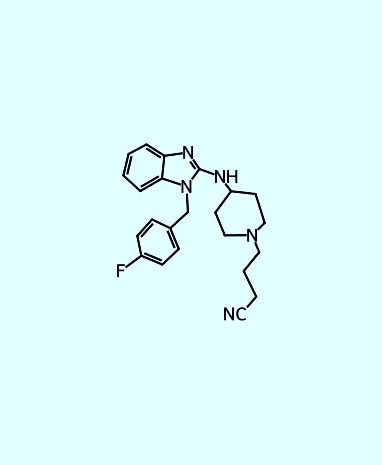 N#CCCCN1CCC(Nc2nc3ccccc3n2Cc2ccc(F)cc2)CC1